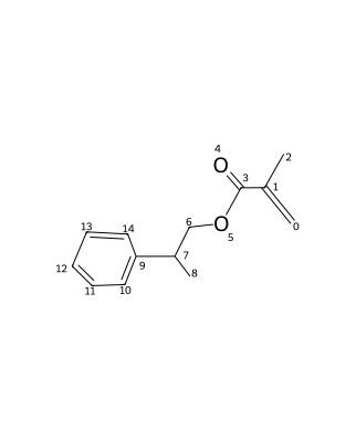 C=C(C)C(=O)OCC(C)c1ccccc1